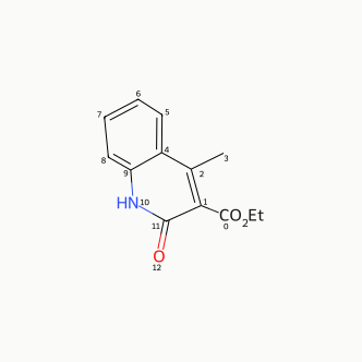 CCOC(=O)c1c(C)c2ccccc2[nH]c1=O